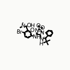 CN(C)C(=O)c1c(Br)ccc(NC2=NS(=O)(=O)N=C2N[C@@H](c2ccccc2)C(C)(C)C)c1O